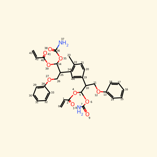 C=CC(=O)OC(OC(N)=O)C(COc1ccccc1)c1ccc(C)c(C(COc2ccccc2)C(OC(N)=O)OC(=O)C=C)c1